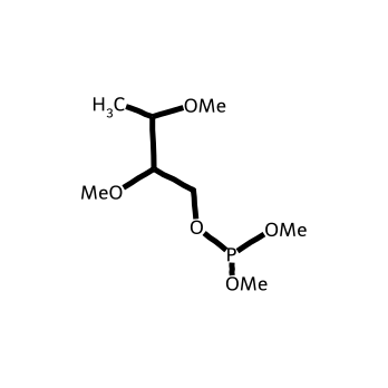 COC(C)C(COP(OC)OC)OC